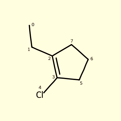 CCC1=C(Cl)CCC1